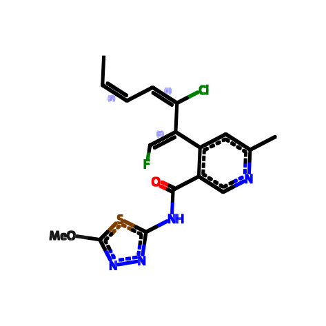 C\C=C/C=C(Cl)\C(=C\F)c1cc(C)ncc1C(=O)Nc1nnc(OC)s1